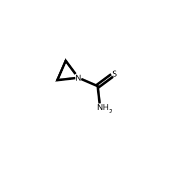 NC(=S)N1CC1